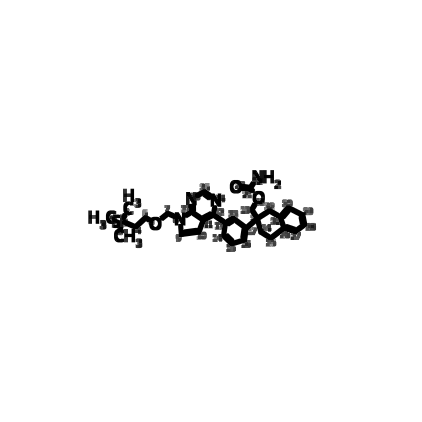 C[Si](C)(C)CCOCn1ccc2c(-c3cccc(C4(COC(N)=O)CCc5ccccc5C4)c3)ncnc21